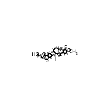 COc1ccc(-c2cnc3n2/C=C\CC/C=C\3Nc2ccc3c(c2)CCN(CCCO)C3=O)c(F)c1F